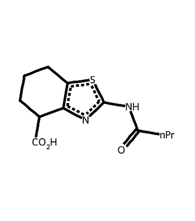 CCCC(=O)Nc1nc2c(s1)CCCC2C(=O)O